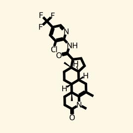 CC1=C2N(C)C(=O)CC[C@]2(C)[C@@H]2CC[C@]3(C)C(C(=O)Nc4ncc(C(F)(F)F)cc4Cl)CC[C@H]3[C@@H]2C1